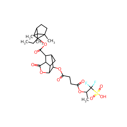 CCC1(OC(=O)C2C3CC4C(OC(=O)C42)C3OC(=O)CCC(=O)OC(C)C(F)(F)S(=O)(=O)O)CC2CCC1(C)C2(C)C